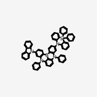 c1ccc(N2c3cc(N4c5ccccc5[Si](c5ccccc5)(c5ccccc5)c5ccccc54)ccc3B3c4ccc(-n5c6ccccc6c6ccccc65)cc4N(c4ccccc4)c4cccc2c43)cc1